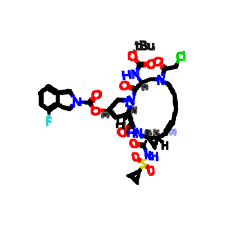 CC(C)(C)OC(=O)N[C@H]1CN(C(=O)CCl)CCC/C=C\[C@@H]2C[C@@]2(C(=O)NS(=O)(=O)C2CC2)NC(=O)[C@@H]2C[C@@H](OC(=O)N3Cc4cccc(F)c4C3)CN2C1=O